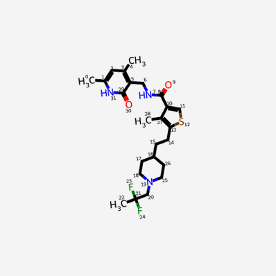 Cc1cc(C)c(CNC(=O)c2csc(CCC3CCN(CC(C)(F)F)CC3)c2C)c(=O)[nH]1